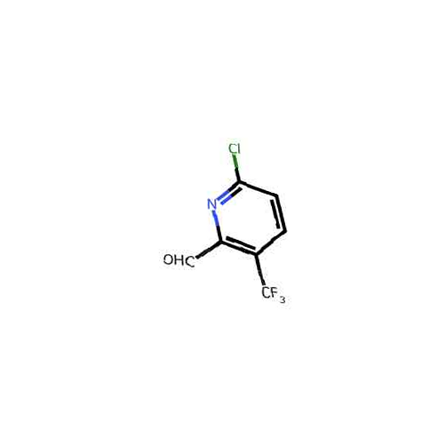 O=Cc1nc(Cl)ccc1C(F)(F)F